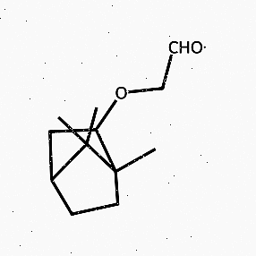 CC1(C)C2CCC1(C)C(OC[C]=O)C2